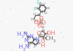 C[C@@]1(O)[C@H](O)[C@@H](CO[P@@]2(=O)OCC[C@@H](c3cccc(F)c3F)O2)O[C@H]1n1ccc2c(N)nc(N)nc21